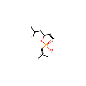 C=CC(CC(C)C)OP(=O)(O)C=C(C)C